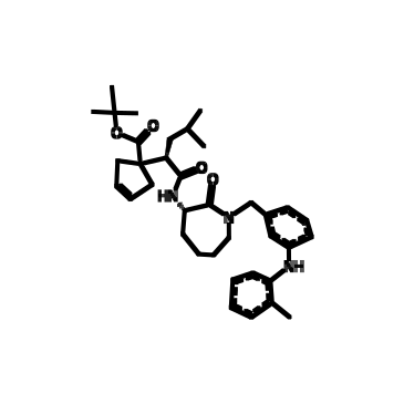 Cc1ccccc1Nc1cccc(CN2CCCC[C@H](NC(=O)[C@H](CC(C)C)C3(C(=O)OC(C)(C)C)CC=CC3)C2=O)c1